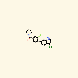 O=C(c1ccc(-c2ccc3c(Cl)ccnc3c2)c(F)c1)N1CCCCC1